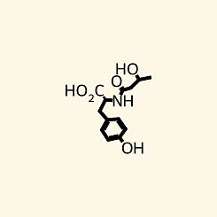 CC(O)CC(=O)N[C@@H](Cc1ccc(O)cc1)C(=O)O